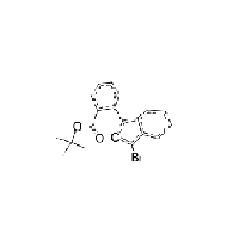 Cc1ccc2c(-c3ccccc3C(=O)OC(C)(C)C)oc(Br)c2c1